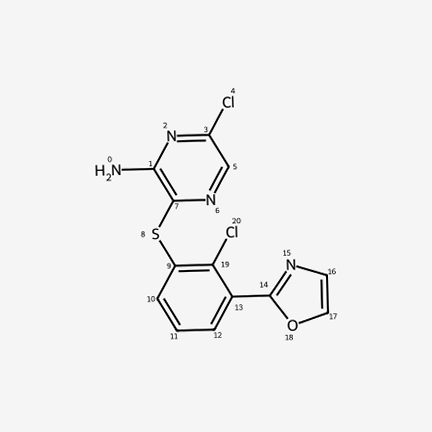 Nc1nc(Cl)cnc1Sc1cccc(-c2ncco2)c1Cl